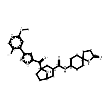 COc1cc(-c2cc(C(=O)C34CCC(CC(C(=O)NC5CCC6(CCC(=O)N6)CC5)C3)N4)n[nH]2)c(F)cn1